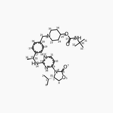 CC(C)[C@H]1COC(=O)N1c1ccnc(N[C@@H](C)c2ccc(CN3CCC(OC(=O)NC(C)(C)C)CC3)cc2)n1